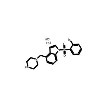 Cl.Cl.O=S(=O)(c1ccccc1Br)n1ccc2c(CN3CCNCC3)cccc21